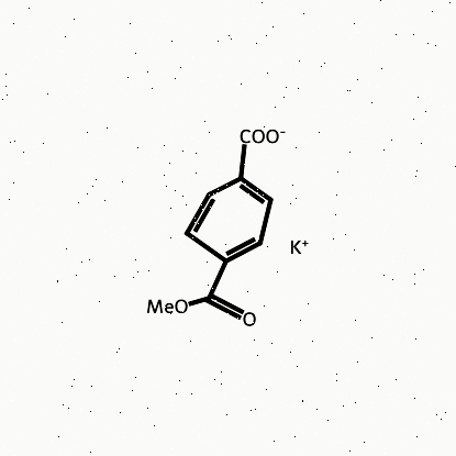 COC(=O)c1ccc(C(=O)[O-])cc1.[K+]